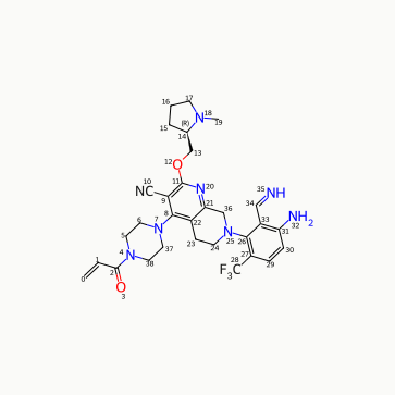 C=CC(=O)N1CCN(c2c(C#N)c(OC[C@H]3CCCN3C)nc3c2CCN(c2c(C(F)(F)F)ccc(N)c2C=N)C3)CC1